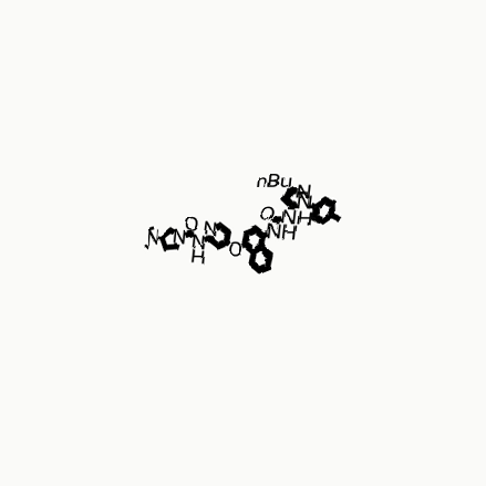 CCCCc1cc(NC(=O)Nc2ccc(Oc3ccnc(NC(=O)N4CC[C@@H](N(C)C)C4)c3)c3ccccc23)n(-c2ccc(C)cc2)n1